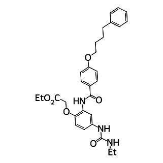 CCNC(=O)Nc1ccc(OCC(=O)OCC)c(NC(=O)c2ccc(OCCCCc3ccccc3)cc2)c1